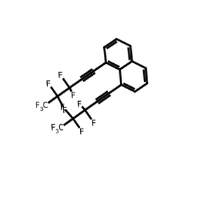 FC(F)(F)C(F)(F)C(F)(F)C#Cc1cccc2cccc(C#CC(F)(F)C(F)(F)C(F)(F)F)c12